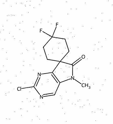 CN1C(=O)C2(CCC(F)(F)CC2)c2nc(Cl)ncc21